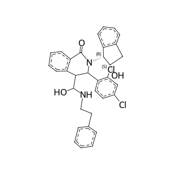 O=C1c2ccccc2C(C(O)NCCc2ccccc2)C(c2ccc(Cl)cc2Cl)N1[C@@H]1c2ccccc2C[C@@H]1O